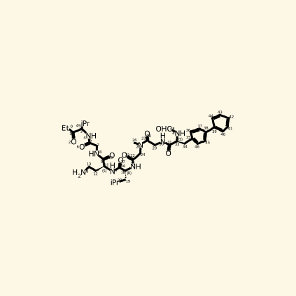 CCC(=O)C(NC(=O)CNC(=O)[C@H](CCN)NC(=O)[C@@H](CC(C)C)NC(=O)CN(C)C(=O)CNC(=O)[C@H](Cc1ccc(-c2ccccc2)cc1)NC=O)C(C)C